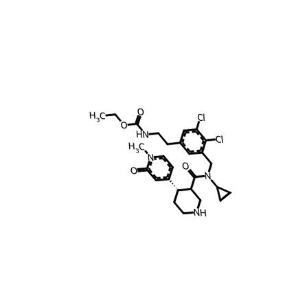 CCOC(=O)NCCc1cc(Cl)c(Cl)c(CN(C(=O)C2CNCC[C@@H]2c2ccn(C)c(=O)c2)C2CC2)c1